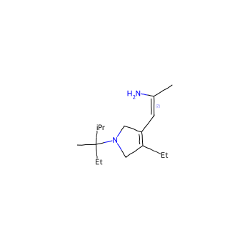 CCC1=C(/C=C(/C)N)CN(C(C)(CC)C(C)C)C1